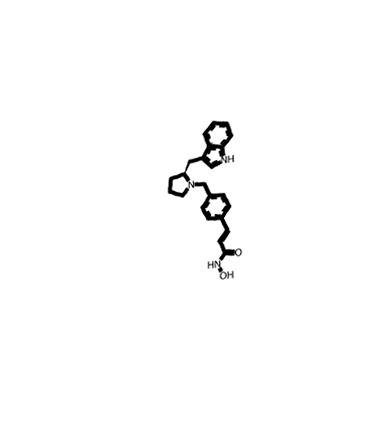 O=C(/C=C/c1ccc(CN2CCC[C@H]2Cc2c[nH]c3ccccc23)cc1)NO